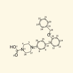 O=C(O)N1CCN(c2ccc(-c3ccccc3OCc3ccccc3)cc2)CC1